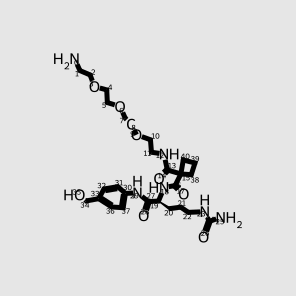 NCCOCCOCCOCCNC(=O)C1(C(=O)N[C@@H](CCCNC(N)=O)C(=O)Nc2ccc(CO)cc2)CCC1